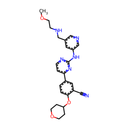 COCCNCc1cncc(Nc2nccc(-c3ccc(OC4CCOCC4)c(C#N)c3)n2)c1